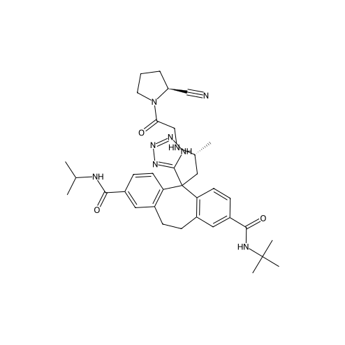 CC(C)NC(=O)c1ccc2c(c1)CCc1cc(C(=O)NC(C)(C)C)ccc1C2(C[C@@H](C)NCC(=O)N1CCC[C@H]1C#N)c1nnn[nH]1